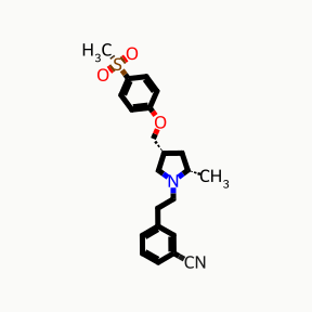 C[C@H]1C[C@@H](COc2ccc(S(C)(=O)=O)cc2)CN1CCc1cccc(C#N)c1